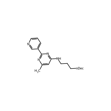 CCCCCCCCCCCCCNc1cc(C)nc(-c2cccnc2)n1